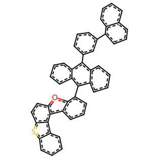 c1cc(-c2cccc3ccccc23)cc(-c2c3ccccc3c(-c3cccc4c3oc3ccc5sc6ccccc6c5c34)c3ccccc23)c1